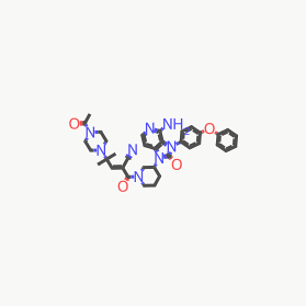 CC(=O)N1CCN(C(C)(C)C=C(C#N)C(=O)N2CCCC(n3c(=O)n(-c4ccc(Oc5ccccc5)cc4)c4c(N)nccc43)C2)CC1